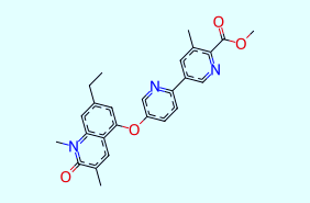 CCc1cc(Oc2ccc(-c3cnc(C(=O)OC)c(C)c3)nc2)c2cc(C)c(=O)n(C)c2c1